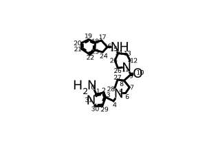 Nc1cc(CN2CCC(C(=O)N3CCC(NC4Cc5ccccc5C4)CC3)CC2)ccn1